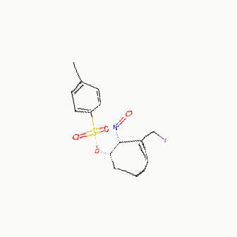 Cc1ccc(S(=O)(=O)O[C@H]2CCC=C(CI)[C@H]2N=O)cc1